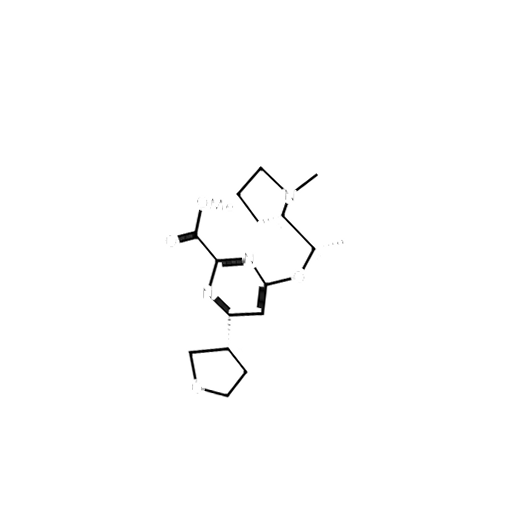 COC(=O)c1nc(O[C@@H](C)[C@@H]2CCCN2C)cc([C@@H]2CCOC2)n1